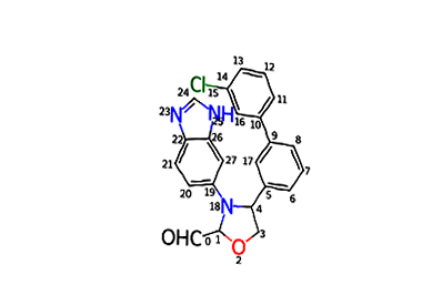 O=CC1OCC(c2cccc(-c3cccc(Cl)c3)c2)N1c1ccc2nc[nH]c2c1